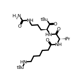 CC(C)[C@H](NC(=O)CCCCCNC(C)(C)C)C(=O)N[C@@H](CCCNC(N)=O)C(=O)C(C)(C)C